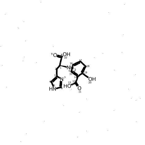 N[C@@H](Cc1c[nH]cn1)C(=O)O.O=C(O)c1ccccc1O